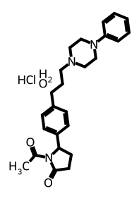 CC(=O)N1C(=O)CCC1c1ccc(CCCN2CCN(c3ccccc3)CC2)cc1.Cl.O